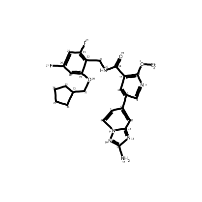 CCOc1ncc(-c2ccn3nc(N)nc3c2)cc1C(=O)NCc1c(F)cc(F)cc1OCC1CCCC1